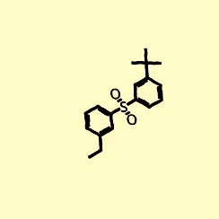 CCc1cccc(S(=O)(=O)c2cccc(C(C)(C)C)c2)c1